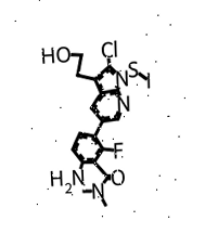 CN(C)C(=O)c1c(N)ccc(-c2cnc3c(c2)c(CCO)c(Cl)n3SI)c1F